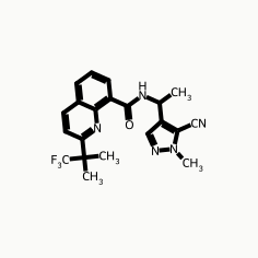 CC(NC(=O)c1cccc2ccc(C(C)(C)C(F)(F)F)nc12)c1cnn(C)c1C#N